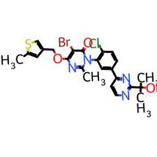 Cc1cc(COc2nc(C)n(-c3cc(-c4ccnc(C(C)(C)O)n4)ccc3Cl)c(=O)c2Br)cs1